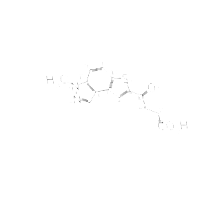 Cn1ncc2c3cc(C(=O)CCC(=O)O)sc3ccc21